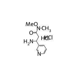 CON(C)C(=O)CC(N)c1cccnc1.Cl.Cl